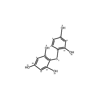 Oc1ccc(Sc2c(O)cc(O)cc2O)c(O)c1